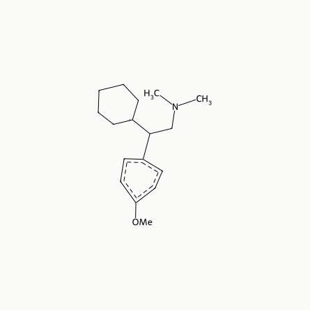 COc1ccc(C(CN(C)C)[C]2CCCCC2)cc1